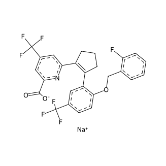 O=C([O-])c1cc(C(F)(F)F)cc(C2=C(c3cc(C(F)(F)F)ccc3OCc3ccccc3F)CCC2)n1.[Na+]